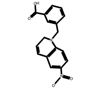 O=C(O)c1cccc(CN2CC=Cc3cc([N+](=O)[O-])ccc32)c1